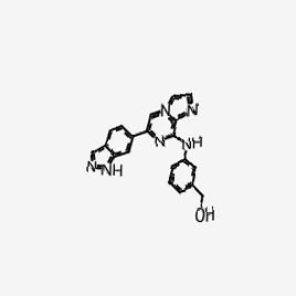 OCc1cccc(Nc2nc(-c3ccc4cn[nH]c4c3)cn3ccnc23)c1